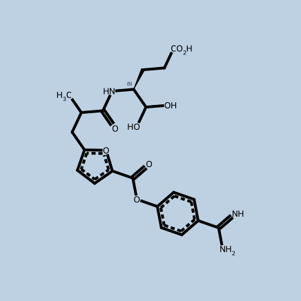 CC(Cc1ccc(C(=O)Oc2ccc(C(=N)N)cc2)o1)C(=O)N[C@@H](CCC(=O)O)C(O)O